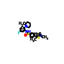 CC1CCCCN1c1ccc(F)cc1N[S+]([O-])c1ccc(C(C)(C)SN(C)C)cc1